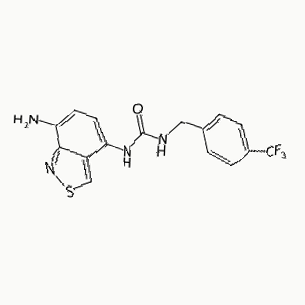 Nc1ccc(NC(=O)NCc2ccc(C(F)(F)F)cc2)c2csnc12